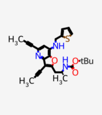 CC#Cc1cc(NCc2cccs2)c2oc(C[C@H](C)NC(=O)OC(C)(C)C)c(C#CC)c2n1